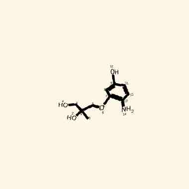 CC(O)(CO)COc1cc(O)ccc1N